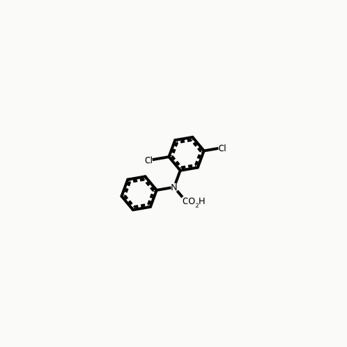 O=C(O)N(c1ccccc1)c1cc(Cl)ccc1Cl